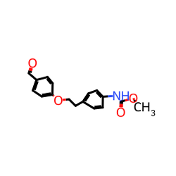 COC(=O)Nc1ccc(CCOc2ccc(C=O)cc2)cc1